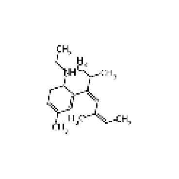 C/C=C(C)\C=C(/C1=CC(C)=CCC1NCC)C(C)C